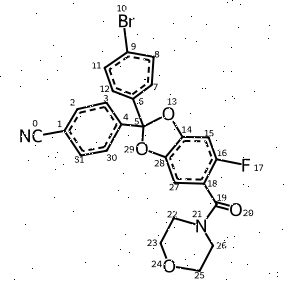 N#Cc1ccc(C2(c3ccc(Br)cc3)Oc3cc(F)c(C(=O)N4CCOCC4)cc3O2)cc1